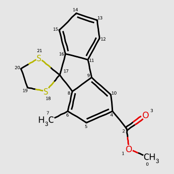 COC(=O)c1cc(C)c2c(c1)-c1ccccc1C21SCCS1